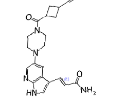 N#CC1CC(C(=O)N2CCN(c3cnc4[nH]cc(/C=C/C(N)=O)c4c3)CC2)C1